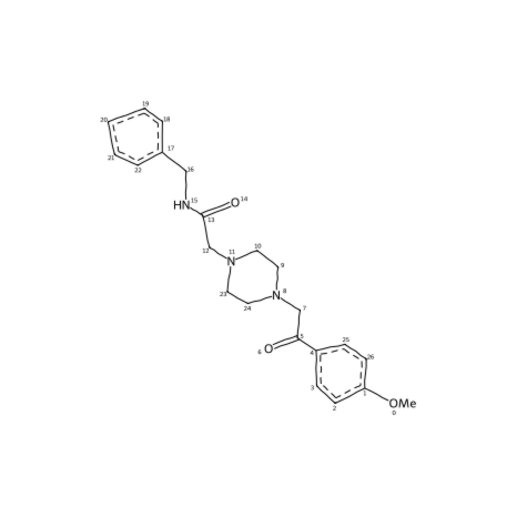 COc1ccc(C(=O)CN2CCN(CC(=O)NCc3ccccc3)CC2)cc1